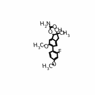 COc1ccc(-c2cc3c(cc2OC)C(OC(N)=O)C(C)(C)C3)c(F)c1